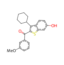 COc1cccc(C(=O)c2sc3cc(O)ccc3c2C2CCCCC2)c1